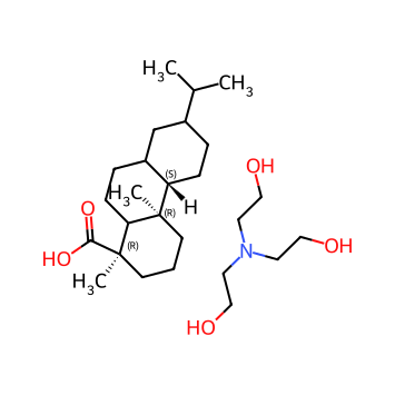 CC(C)C1CC[C@H]2C(CCC3[C@](C)(C(=O)O)CCC[C@@]32C)C1.OCCN(CCO)CCO